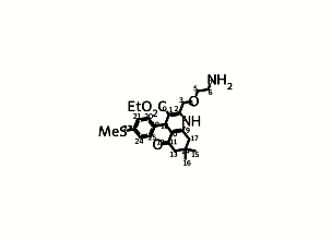 CCOC(=O)C1=C(COCCN)NC2=C(C(=O)CC(C)(C)C2)C1c1ccc(SC)cc1